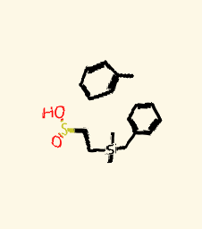 C[Si](C)(CCS(=O)O)Cc1ccccc1.Cc1ccccc1